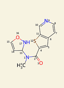 CN(C(=O)c1cc2ccncc2s1)C1C=CON1